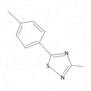 Cc1ccc(-c2nc(C)ns2)cc1